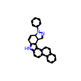 C1=CC2C(C=NN2c2ccccc2)c2c1[nH]c1ccc3c4ccccc4ccc3c21